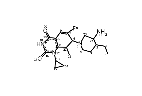 CCC1CCN(C2C(F)=Cc3c(n(C4CC4)c(=O)[nH]c3=O)C2C)CC1N